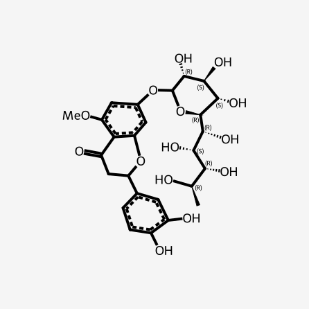 COc1cc(OC2O[C@H]([C@H](O)[C@@H](O)[C@H](O)[C@@H](C)O)[C@@H](O)[C@H](O)[C@H]2O)cc2c1C(=O)CC(c1ccc(O)c(O)c1)O2